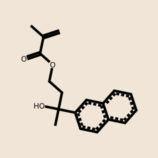 C=C(C)C(=O)OCCC(C)(O)c1ccc2ccccc2c1